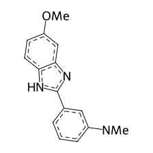 CNc1cccc(-c2nc3cc(OC)ccc3[nH]2)c1